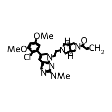 C=CC(=O)N1C[C@H]2CN(CCN3CC(c4cc(OC)cc(OC)c4Cl)=Cc4cnc(NC)nc43)C[C@H]2C1